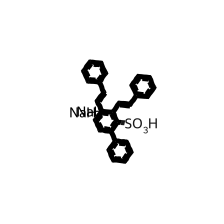 O=S(=O)(O)c1c(-c2ccccc2)ccc(C=Cc2ccccc2)c1C=Cc1ccccc1.[NaH].[NaH]